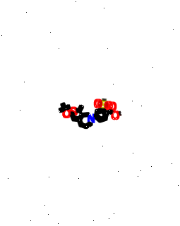 COC(=O)c1ccc(N2CCC/C(=C/C(=O)OC(C)(C)C)[C@@H](C(C)C)C2)cc1S(C)(=O)=O